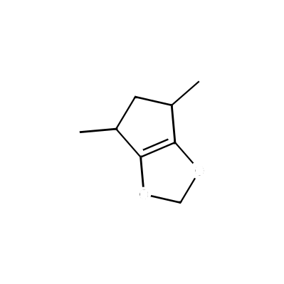 CC1CC(C)C2=C1OCO2